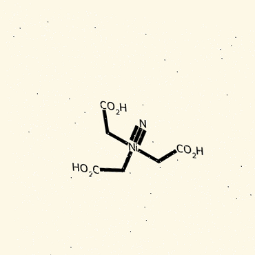 [N]#[Ni]([CH2]C(=O)O)([CH2]C(=O)O)[CH2]C(=O)O